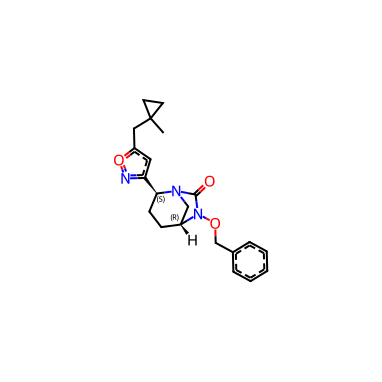 CC1(Cc2cc([C@@H]3CC[C@@H]4CN3C(=O)N4OCc3ccccc3)no2)CC1